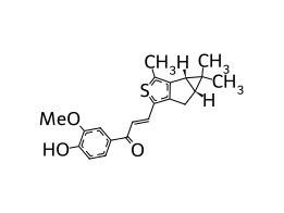 COc1cc(C(=O)C=Cc2sc(C)c3c2C[C@@H]2[C@H]3C2(C)C)ccc1O